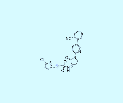 N#Cc1ccccc1-c1ccc(N2CC[C@H](NS(=O)(=O)/C=C/c3ccc(Cl)s3)C2=O)nc1